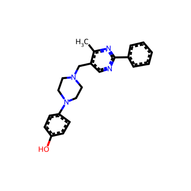 Cc1nc(-c2ccccc2)ncc1CN1CCN(c2ccc(O)cc2)CC1